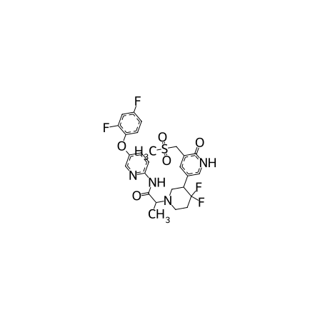 CC(C(=O)Nc1ccc(Oc2ccc(F)cc2F)cn1)N1CCC(F)(F)C(c2c[nH]c(=O)c(CS(C)(=O)=O)c2)C1